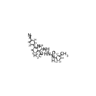 COc1c(NCCNC(=O)Nc2cccc(C)c2)cnc2c(-c3ccc(C#N)cc3)cccc12